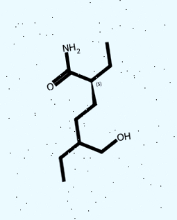 CCC(CO)CC[C@H](CC)C(N)=O